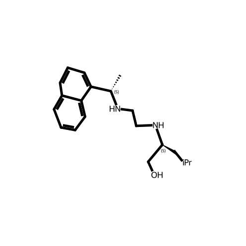 CC(C)C[C@@H](CO)NCCN[C@@H](C)c1cccc2ccccc12